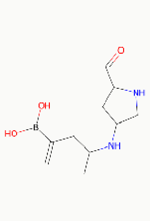 C=C(CC(C)NC1CNC(C=O)C1)B(O)O